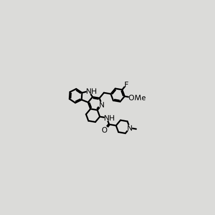 COc1ccc(Cc2nc3c(c4c2[nH]c2ccccc24)CCCC3NC(=O)C2CCN(C)CC2)cc1F